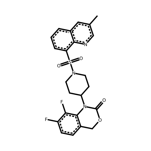 Cc1cnc2c(S(=O)(=O)N3CCC(N4C(=O)OCc5ccc(F)c(F)c54)CC3)cccc2c1